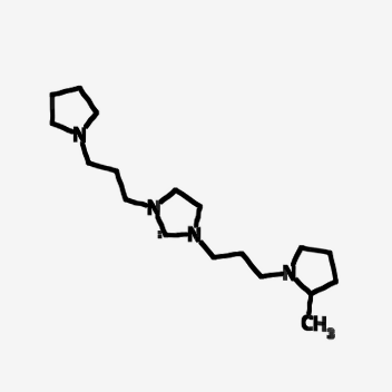 CC1CCCN1CCCN1[C]N(CCCN2CCCC2)CC1